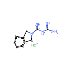 Cl.N=C(N)NC(=N)N1Cc2ccccc2C1